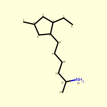 CCC1CC(C)CC1CCCCC(C)N